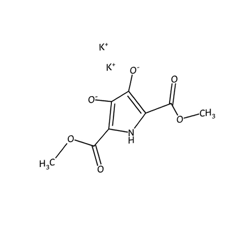 COC(=O)c1[nH]c(C(=O)OC)c([O-])c1[O-].[K+].[K+]